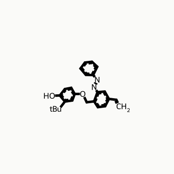 C=Cc1ccc(COc2ccc(O)c(C(C)(C)C)c2)c(N=Nc2ccccc2)c1